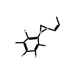 C/C=C\N1CN1c1c(F)c(C)c(F)c(F)c1F